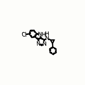 Clc1ccc2[nH]c3c(NC4CC4c4ccccc4)ncnc3c2c1